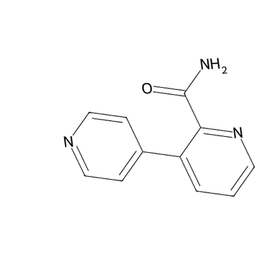 NC(=O)c1ncccc1-c1ccncc1